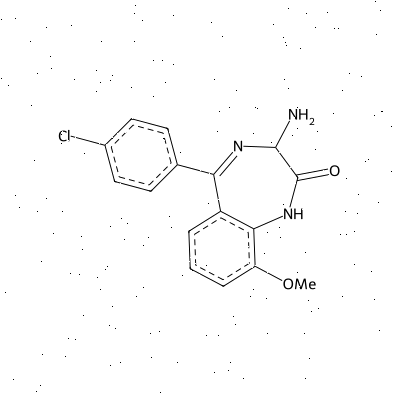 COc1cccc2c1NC(=O)C(N)N=C2c1ccc(Cl)cc1